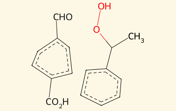 CC(OO)c1ccccc1.O=Cc1ccc(C(=O)O)cc1